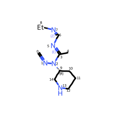 C=NN(/C(C)=N/C=N\CC)[C@@H]1CCCNC1